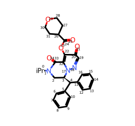 CC(C)N1C[C@H](C(c2ccccc2)c2ccccc2)n2ncc(=O)c(OC(=O)C3CCOCC3)c2C1=O